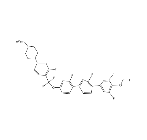 CCCCCC1CCC(c2ccc(C(F)(F)Oc3ccc(-c4ccc(-c5cc(F)c(OCF)c(F)c5)c(F)c4)c(F)c3)c(F)c2)CC1